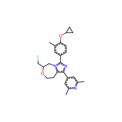 Cc1cc(-c2nc(-c3ccc(OC4CC4)c(C)c3)n3c2CCOC(CF)C3)cc(C)n1